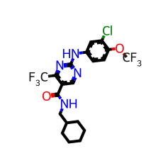 O=C(NCC1CCCCC1)c1cnc(Nc2ccc(OC(F)(F)F)c(Cl)c2)nc1C(F)(F)F